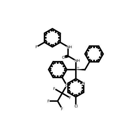 O=C(Nc1cccc(F)c1)N[C@](Cc1ccccc1)(c1ccc(Cl)cn1)c1ccccc1OC(F)(F)C(F)F